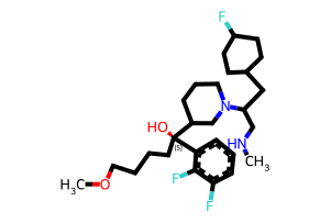 CNCC(CC1CCC(F)CC1)N1CCCC([C@@](O)(CCCCOC)c2cccc(F)c2F)C1